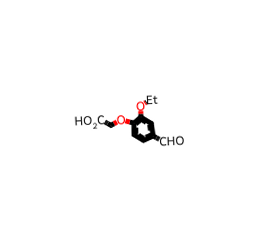 CCOc1cc(C=O)ccc1OCC(=O)O